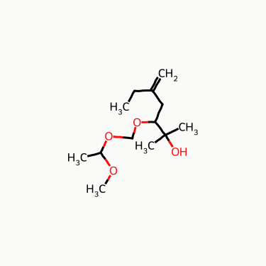 C=C(CC)CC(OCOC(C)OC)C(C)(C)O